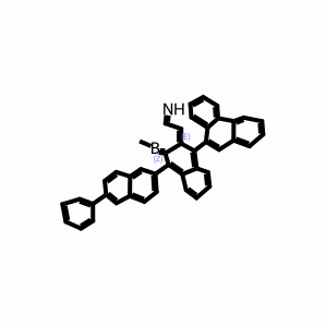 C/B=c1/c(-c2ccc3cc(-c4ccccc4)ccc3c2)c2ccccc2c(-c2cc3ccccc3c3ccccc23)/c1=C/C=N